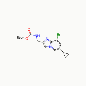 CC(C)(C)OC(=O)NCc1cn2cc(C3CC3)cc(Br)c2n1